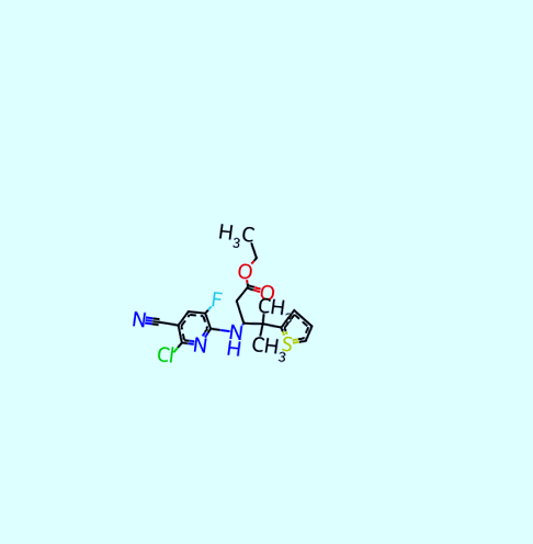 CCOC(=O)CC(Nc1nc(Cl)c(C#N)cc1F)C(C)(C)c1cccs1